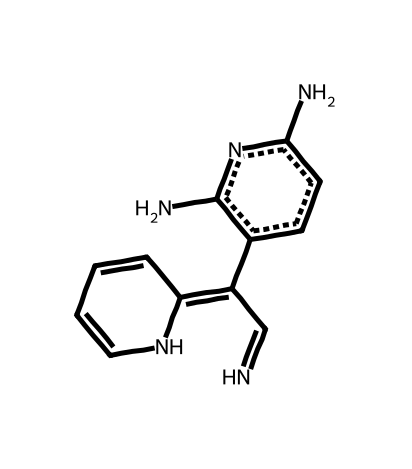 N=C/C(=C1/C=CC=CN1)c1ccc(N)nc1N